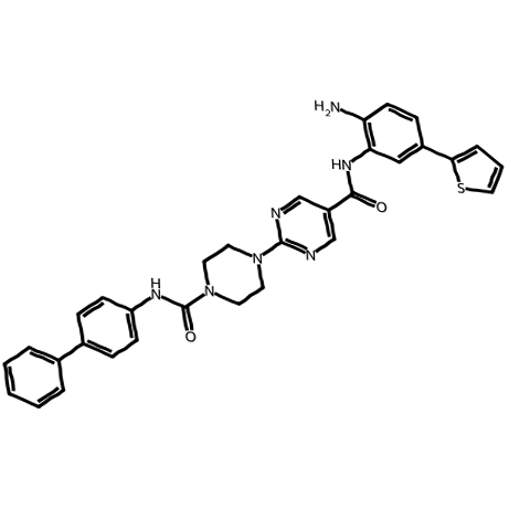 Nc1ccc(-c2cccs2)cc1NC(=O)c1cnc(N2CCN(C(=O)Nc3ccc(-c4ccccc4)cc3)CC2)nc1